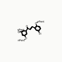 CCCCCOc1cc(OCCCCC)cc(C(=O)C=Cc2cc(CC)ccc2OCCCCC)c1